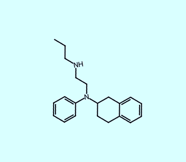 CCCNCCN(c1ccccc1)C1CCc2ccccc2C1